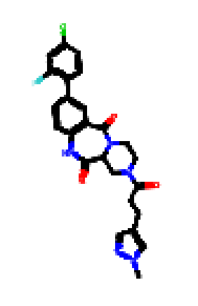 Cn1cc(CCC(=O)N2CCN3C(=O)c4cc(-c5ccc(Cl)cc5F)ccc4NC(=O)C3C2)cn1